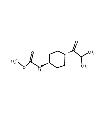 COC(=O)N[C@H]1CC[C@H](C(=O)C(C)C)CC1